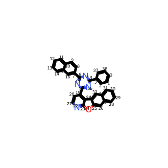 c1ccc(-c2nc(-c3ccc4ccccc4c3)nc(-c3ccnc4oc5cc6ccccc6cc5c34)n2)cc1